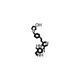 Cc1c(Nc2c(C#N)cncc2/C=C/c2ccc(CN3CCC(O)C3)cc2)ccc2[nH]ccc12